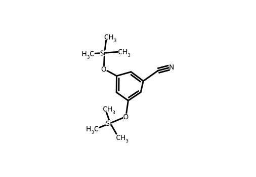 C[Si](C)(C)Oc1cc(C#N)cc(O[Si](C)(C)C)c1